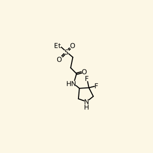 CCS(=O)(=O)CCC(=O)NC1CNCC1(F)F